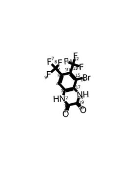 O=c1[nH]c2cc(C(F)(F)F)c(C(F)(F)F)c(Br)c2[nH]c1=O